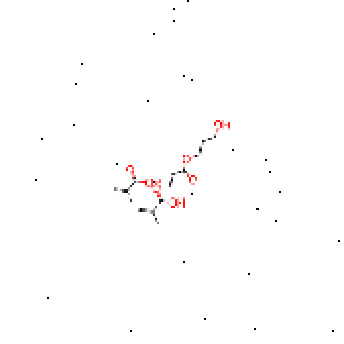 C=C(C)C(=O)O.C=C(C)C(=O)O.C=CC(=O)OCCCO